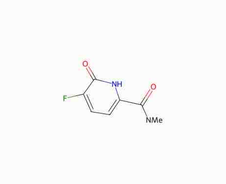 CNC(=O)c1ccc(F)c(=O)[nH]1